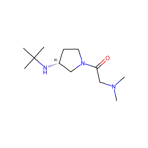 CN(C)CC(=O)N1CC[C@@H](NC(C)(C)C)C1